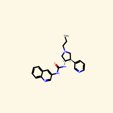 COCCN1C[C@@H](NC(=O)Nc2cnc3ccccc3c2)[C@H](c2cccnc2)C1